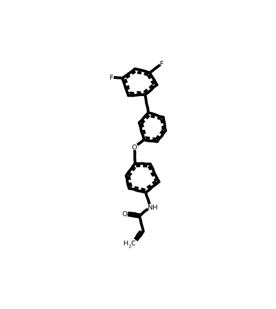 C=CC(=O)Nc1ccc(Oc2cccc(-c3cc(F)cc(F)c3)c2)cc1